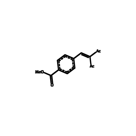 COC(=O)c1ccc(C=C(C(C)=O)C(C)=O)cc1